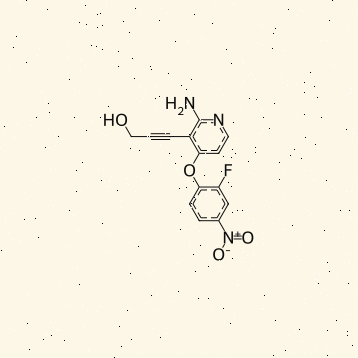 Nc1nccc(Oc2ccc([N+](=O)[O-])cc2F)c1C#CCO